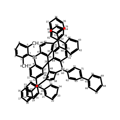 Cc1cccc(C)c1B1c2ccc(B(c3ccccc3)c3ccccc3)cc2C2(c3cc(B(c4ccccc4)c4ccccc4)ccc31)c1cc(-c3ccccc3)ccc1N(c1ccc(-c3ccccc3)cc1)c1ccc(-c3ccccc3)cc12